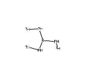 [3H]PB(P[3H])P[3H]